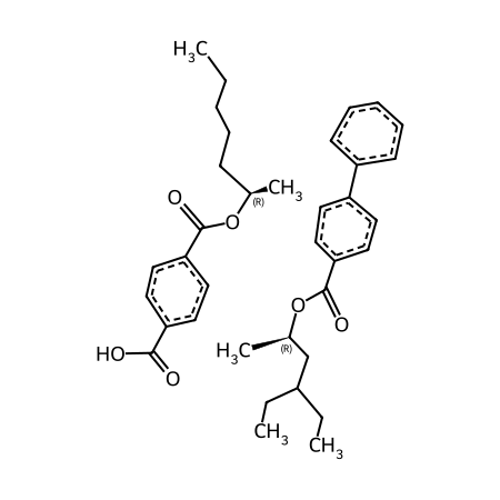 CCC(CC)C[C@@H](C)OC(=O)c1ccc(-c2ccccc2)cc1.CCCCC[C@@H](C)OC(=O)c1ccc(C(=O)O)cc1